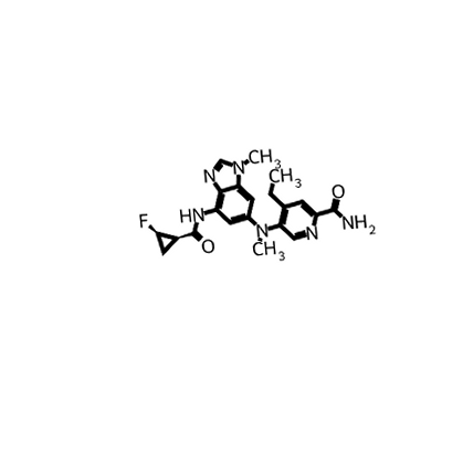 CCc1cc(C(N)=O)ncc1N(C)c1cc(NC(=O)[C@H]2C[C@H]2F)c2ncn(C)c2c1